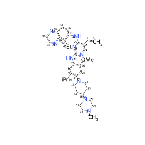 C=Cc1cnc(Nc2cc(C(C)C)c(N3CCC(N4CCN(C)CC4)CC3)cc2OC)nc1Nc1ccc2nccnc2c1CC